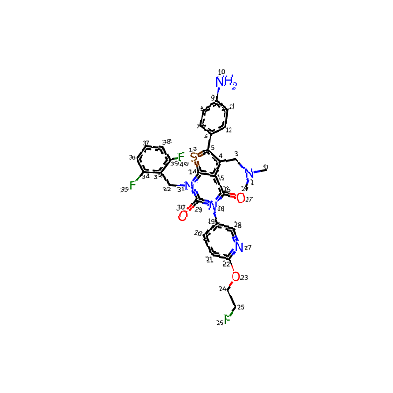 CN(C)Cc1c(-c2ccc(N)cc2)sc2c1c(=O)n(-c1ccc(OCCF)nc1)c(=O)n2Cc1c(F)cccc1F